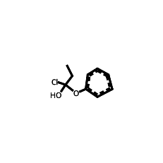 CCC(O)(Cl)Oc1ccccc1